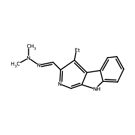 CCc1c(C=NN(C)C)ncc2[nH]c3ccccc3c12